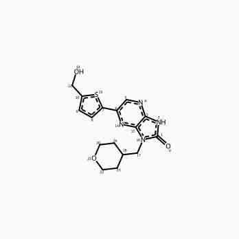 O=c1[nH]c2ncc(-c3ccc(CO)s3)nc2n1CC1CCOCC1